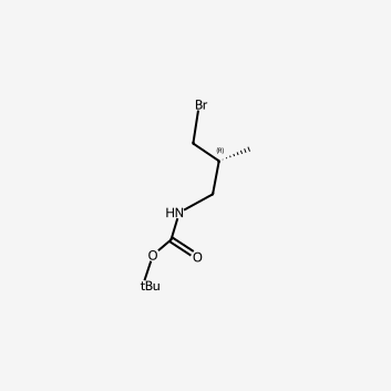 C[C@@H](CBr)CNC(=O)OC(C)(C)C